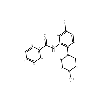 OC1CCN(c2ccc(F)cc2NC(=S)c2ccncc2)CC1